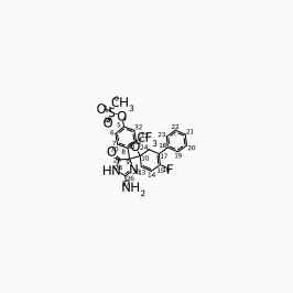 CS(=O)(=O)Oc1ccc(C2(C3(OC(F)(F)F)C=CC(F)=C(c4ccccc4)C3)N=C(N)NC2=O)cc1